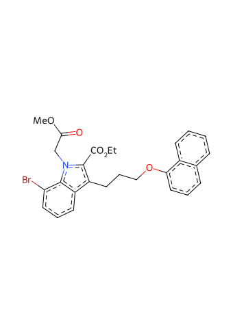 CCOC(=O)c1c(CCCOc2cccc3ccccc23)c2cccc(Br)c2n1CC(=O)OC